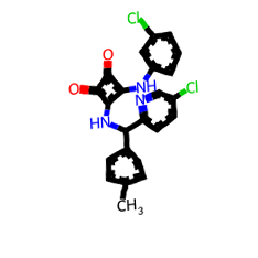 Cc1ccc(C(Nc2c(Nc3cccc(Cl)c3)c(=O)c2=O)c2ccc(Cl)cn2)cc1